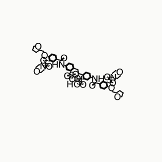 O=C(Nc1ccc(CCc2ccc(NC(=O)c3ccc(OCC4CCCO4)c(S(=O)(=O)N4CCOCC4)c3)cc2S(=O)(=O)O)c(S(=O)(=O)O)c1)c1ccc(OCC2CCCO2)c(S(=O)(=O)N2CCOCC2)c1